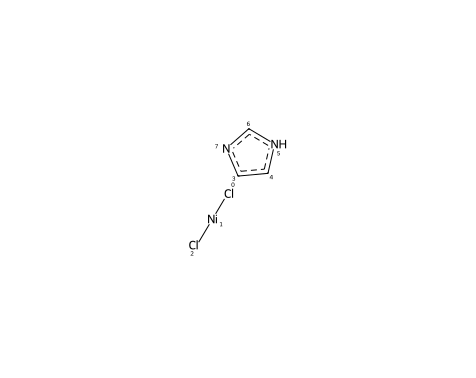 [Cl][Ni][Cl].c1c[nH]cn1